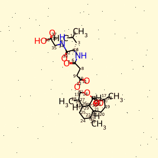 CC(C)C[C@H](NC(=O)CCC(=O)O[C@@H]1O[C@@H]2O[C@@]3(C)CC[C@H]4[C@H](C)CC[C@@H]([C@H]1C)[C@@]24OO3)C(=O)NCC(=O)O